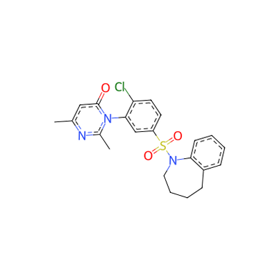 Cc1cc(=O)n(-c2cc(S(=O)(=O)N3CCCCc4ccccc43)ccc2Cl)c(C)n1